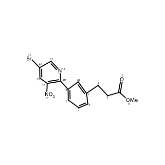 COC(=O)CCc1cccc(-c2ncc(Br)cc2[N+](=O)[O-])c1